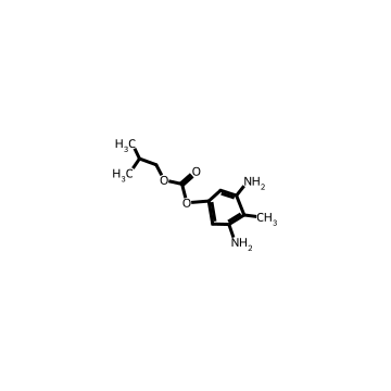 Cc1c(N)cc(OC(=O)OCC(C)C)cc1N